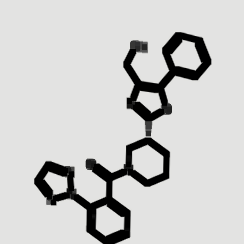 O=C(c1ccccc1-n1nccn1)N1CCC[C@@H](c2nc(CO)c(-c3ccccc3)o2)C1